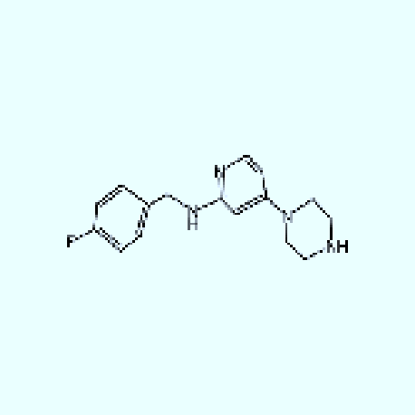 Fc1ccc(CNc2cc(N3CCNCC3)ccn2)cc1